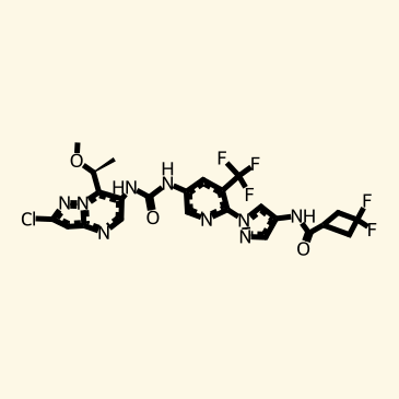 CO[C@@H](C)c1c(NC(=O)Nc2cnc(-n3cc(NC(=O)C4CC(F)(F)C4)cn3)c(C(F)(F)F)c2)cnc2cc(Cl)nn12